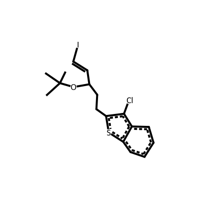 CC(C)(C)OC(/C=C/I)CCc1sc2ccccc2c1Cl